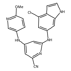 COc1ccc(Nc2cc(C#N)nc(Nc3cc(Cl)c4cc[nH]c4c3)c2)cn1